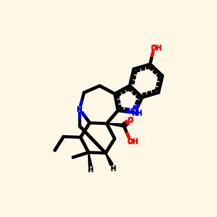 CCC1C2N3CCc4c([nH]c5ccc(O)cc45)[C@]2(C(=O)O)C[C@@H](C3)[C@@H]1C